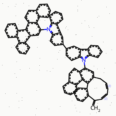 C=C1/C=C\C=C/Cc2cc(-n3c4ccccc4c4cc(-c5ccc6c(c5)c5ccccc5n6-c5cc6c7ccccc7c7ccccc7c6c6ccc7ccccc7c56)ccc43)c3ccc4ccccc4c3c2-c2ccccc21